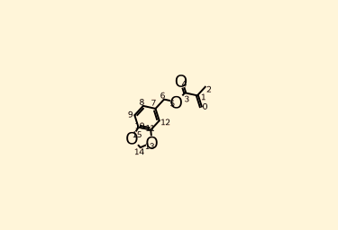 C=C(C)C(=O)OCc1ccc2c(c1)OCO2